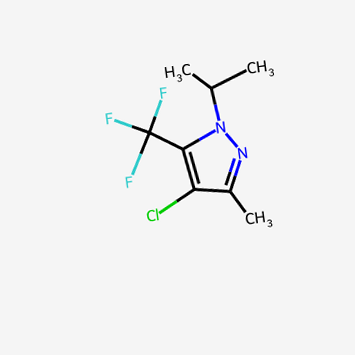 Cc1nn(C(C)C)c(C(F)(F)F)c1Cl